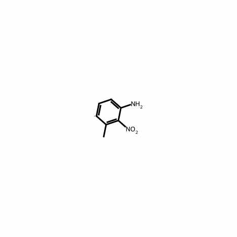 Cc1[c]ccc(N)c1[N+](=O)[O-]